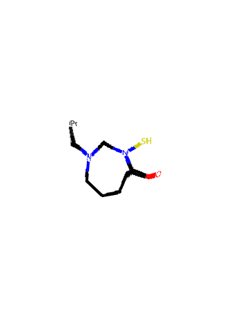 CC(C)CN1CCCC(=O)N(S)C1